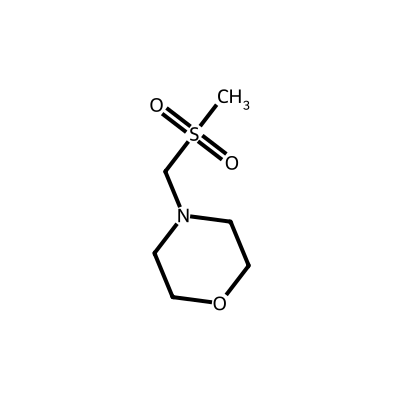 CS(=O)(=O)CN1CCOCC1